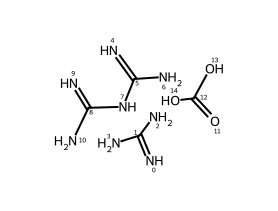 N=C(N)N.N=C(N)NC(=N)N.O=C(O)O